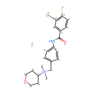 C[N+](C)(Cc1ccc(NC(=O)c2ccc(F)c(Cl)c2)cc1)C1CCOCC1.[I-]